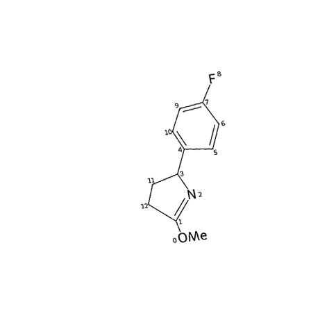 COC1=NC(c2ccc(F)cc2)CC1